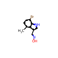 Cc1ccc(Br)c2[nH]cc(/C=N/O)c12